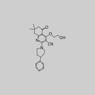 CC1(C)CC(=O)c2c(nc(N3CCC(c4ccccc4)CC3)c(C#N)c2OCCO)C1